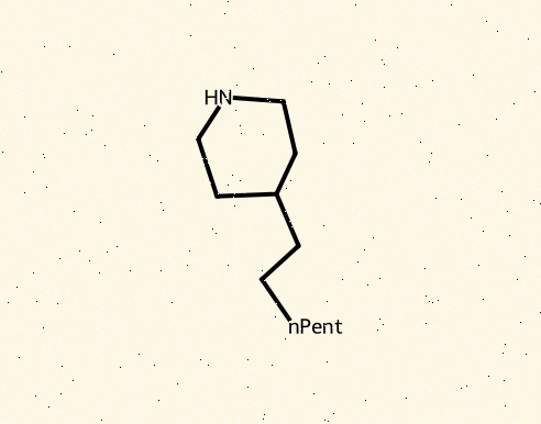 CCCCCCCC1CCNCC1